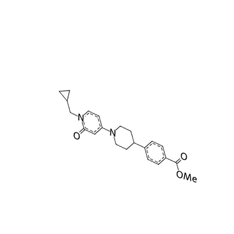 COC(=O)c1ccc(C2CCN(c3ccn(CC4CC4)c(=O)c3)CC2)cc1